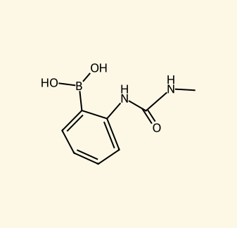 CNC(=O)Nc1ccccc1B(O)O